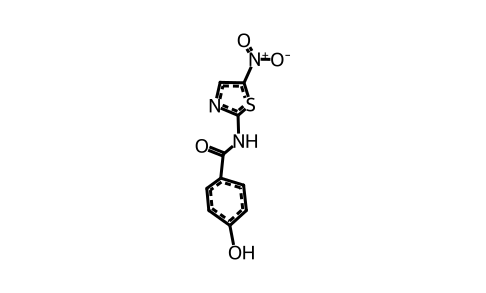 O=C(Nc1ncc([N+](=O)[O-])s1)c1ccc(O)cc1